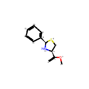 C=C(OC)[C@@H]1CS[C@H](c2ccccc2)N1